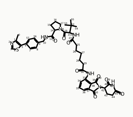 Cc1ncsc1-c1ccc(CNC(=O)C2CCCN2C(=O)C(NC(=O)CCCCCC(=O)Nc2cccc3c2C(=O)N(C2CCC(=O)NC2=O)C3=O)C(C)(C)C)cc1